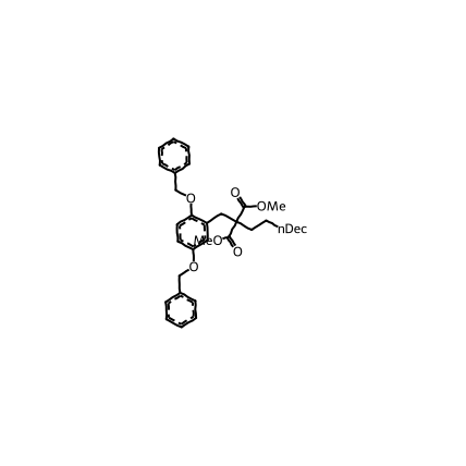 CCCCCCCCCCCCC(Cc1cc(OCc2ccccc2)ccc1OCc1ccccc1)(C(=O)OC)C(=O)OC